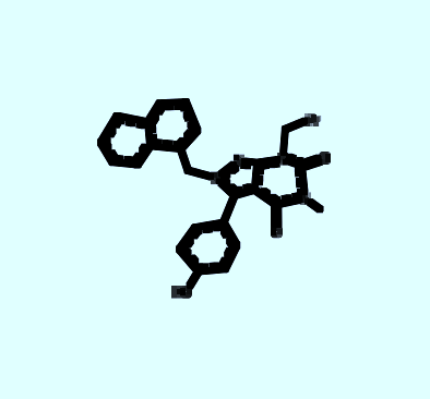 CC(C)Cn1c(=O)n(C)c(=O)c2c(-c3ccc(O)cc3)n(Cc3cccc4ccccc34)nc21